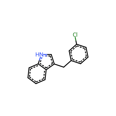 Clc1cccc(Cc2c[nH]c3ccccc23)c1